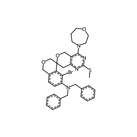 CSc1nc2c(c(N3CCCOCC3)n1)COC1(COCc3ccc(N(Cc4ccccc4)Cc4ccccc4)c(Br)c31)C2